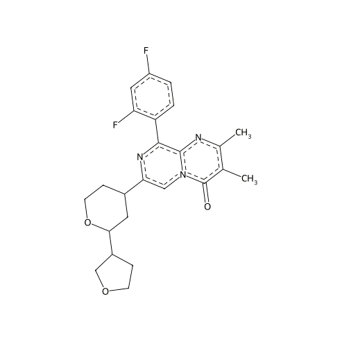 Cc1nc2c(-c3ccc(F)cc3F)nc(C3CCOC(C4CCOC4)C3)cn2c(=O)c1C